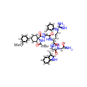 CCCCC(=O)N[C@]1(C(=O)N[C@H](Cc2ccccc2)C(=O)N[C@@H](CCCNC(=N)N)C(=O)N[C@@H](Cc2c[nH]c3ccccc23)C(=O)NCC(N)=O)CC[C@H](c2cccc(OC)c2)CC1